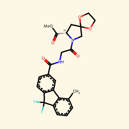 COC(=O)[C@@H]1CC2(CN1C(=O)CNC(=O)c1ccc3c(c1)-c1c(C)cccc1C3(F)F)OCCO2